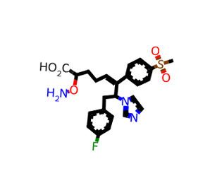 CS(=O)(=O)c1ccc(C(=CCCC(ON)C(=O)O)C(Cc2ccc(F)cc2)n2ccnc2)cc1